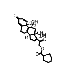 C[C@]12C=CC(=O)C=C1CCC1=C2C(O)C[C@@]2(C)[C@H]1CC[C@]2(O)C(=O)COC(=O)C1CCCCC1